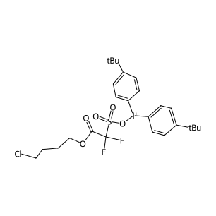 CC(C)(C)c1ccc([I+](OS(=O)(=O)C(F)(F)C(=O)OCCCCCl)c2ccc(C(C)(C)C)cc2)cc1